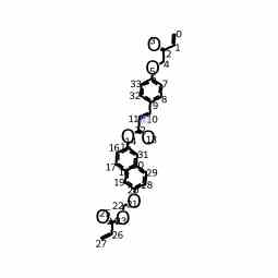 C=CC(=O)COc1ccc(/C=C/C(=O)Oc2ccc3cc(OCOC(=O)C=C)ccc3c2)cc1